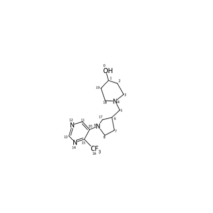 OC1CCN(CC2CCN(c3cncnc3C(F)(F)F)C2)CC1